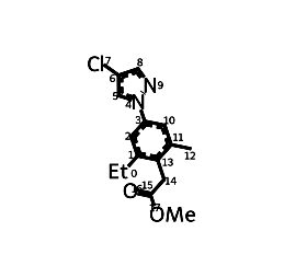 CCc1cc(-n2cc(Cl)cn2)cc(C)c1CC(=O)OC